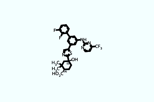 CC1(C)C[C@](O)(c2ncc(-c3cc(Nc4nccc(C(F)(F)F)n4)cc(-c4cccc(F)c4F)c3)s2)CC[C@H]1C(=O)O